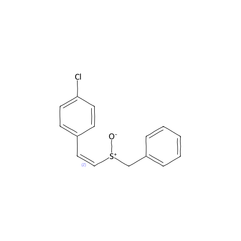 [O-][S+](/C=C\c1ccc(Cl)cc1)Cc1ccccc1